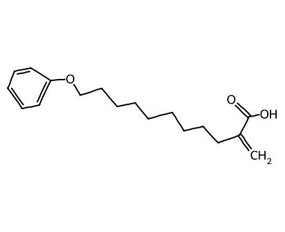 C=C(CCCCCCCCCOc1ccccc1)C(=O)O